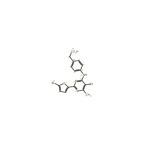 CCc1c(C)nc(-c2ccc(Br)s2)nc1Nc1ccc(CC(=O)O)cc1